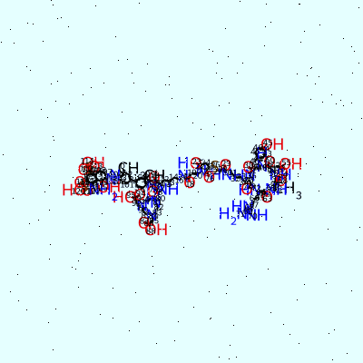 Cc1cc(-c2ccc(NC(=O)[C@@H](CCCCNC(=O)CCN3C(=O)CC(SCC(=O)NCCCC[C@H]4NC(=O)[C@H](Cc5ccc(O)cc5)NC(=O)[C@H](CC(=O)O)NC(=O)C(C)NC(=O)[C@H](CCCNC(=N)N)NC4=O)C3=O)NC(=O)CN3CCN(CC(=O)O)CCN(CC(=O)O)CC3)c(C)c2)ccc1/N=N/c1ccc2c(S(=O)(=O)O)cc(S(=O)(=O)O)c(N)c2c1O